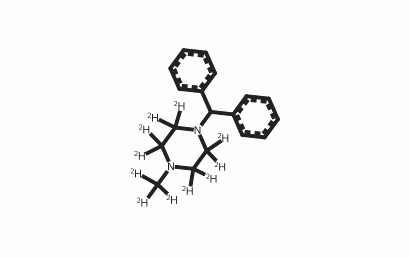 [2H]C([2H])([2H])N1C([2H])([2H])C([2H])([2H])N(C(c2ccccc2)c2ccccc2)C([2H])([2H])C1([2H])[2H]